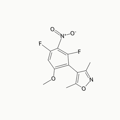 COc1cc(F)c([N+](=O)[O-])c(F)c1-c1c(C)noc1C